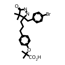 CC(C)(Oc1ccc(CCCC2(Cc3ccc(Br)cc3)N=NC(=O)C2(C)C)cc1)C(=O)O